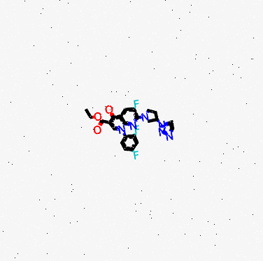 CCOC(=O)c1cn(-c2ccc(F)cc2F)c2nc(N3CCC(n4ccnn4)C3)c(F)cc2c1=O